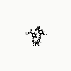 CCN(CC)c1ccc(C)c([N+]#N)c1.CCN(CC)c1ccc(C)c([N+]#N)c1.[Cl][Zn-2]([Cl])([Cl])[Cl]